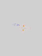 [NH]COS(=O)(=O)O